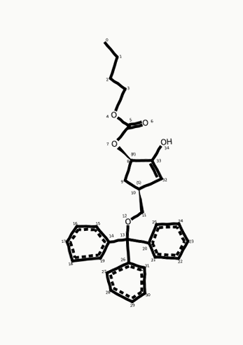 CCCCOC(=O)O[C@@H]1C[C@H](COC(c2ccccc2)(c2ccccc2)c2ccccc2)C=C1O